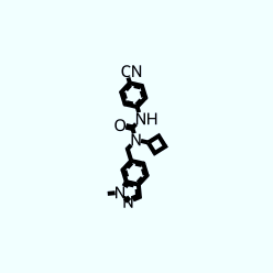 Cn1ncc2ccc(CN(C(=O)Nc3ccc(C#N)cc3)C3CCC3)cc21